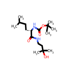 CC(C)CC[C@H](NC(=O)OC(C)(C)C)C(=O)NCCC(C)(C)O